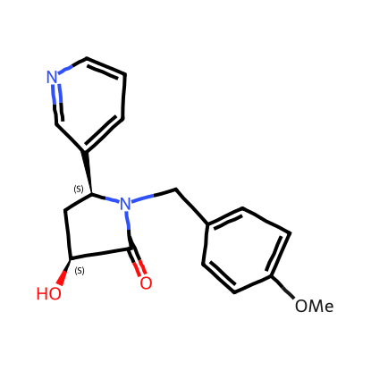 COc1ccc(CN2C(=O)[C@@H](O)C[C@H]2c2cccnc2)cc1